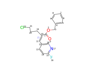 O=C(OCc1ccccc1)/C(=C\c1ccc(F)nc1)CCCCl